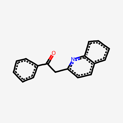 O=C(Cc1ccc2ccccc2n1)c1ccccc1